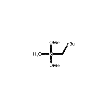 [CH2]CCCC[Si](C)(OC)OC